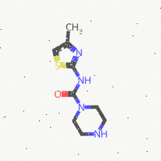 Cc1csc(NC(=O)N2CCNCC2)n1